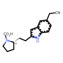 N#CCc1ccc2[nH]c(CC[C@@H]3CCCN3C(=O)O)cc2c1